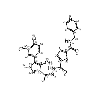 C/C(=N/NC(=O)c1ccc(C(=O)NCc2ccncc2)s1)c1nn(C)c(-c2ccc(Cl)c(Cl)c2)c1O